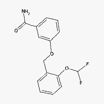 NC(=O)c1cccc(OCc2ccccc2OC(F)F)c1